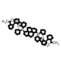 CC(C)c1ccccc1-c1cccc2c1oc1c(N(c3ccccc3)c3ccc4ccc5c(N(c6ccccc6)c6cccc7c6oc6c(-c8ccccc8C(C)C)cccc67)ccc6ccc3c4c65)cccc12